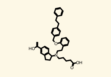 C=C(O)c1ccc2c(c1)CCC2N(CCCCC(=O)O)CCc1ccccc1OCc1ccc(CCc2ccccc2)cc1